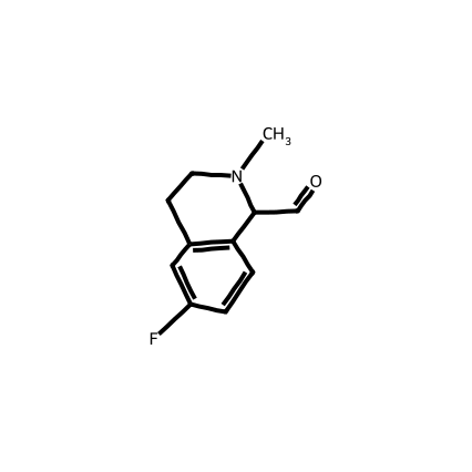 CN1CCc2cc(F)ccc2C1C=O